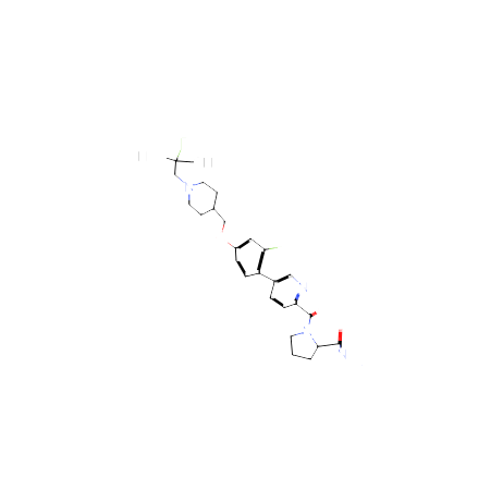 CC(C)(F)CN1CCC(COc2ccc(-c3ccc(C(=O)N4CCCC4C(N)=O)nc3)c(F)c2)CC1